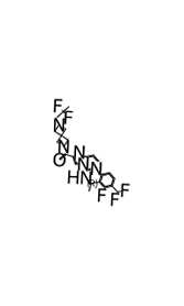 C[C@@H](Nc1nccc2nc(C(=O)N3CC4(CN(CC(C)(F)F)C4)C3)cn12)c1cccc(C(F)F)c1F